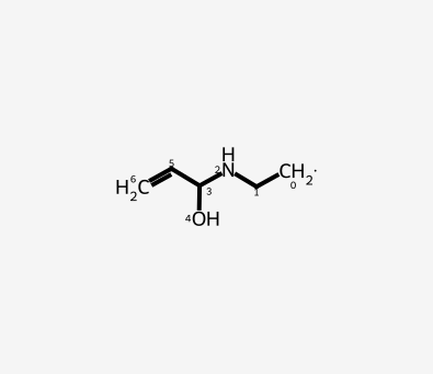 [CH2]CNC(O)C=C